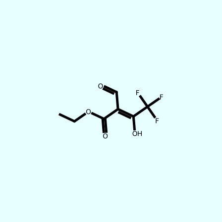 CCOC(=O)/C(C=O)=C(\O)C(F)(F)F